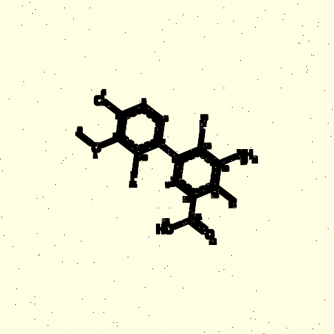 COc1c(Cl)ccc(-c2nc(C(=O)O)c(C)c(N)c2F)c1F